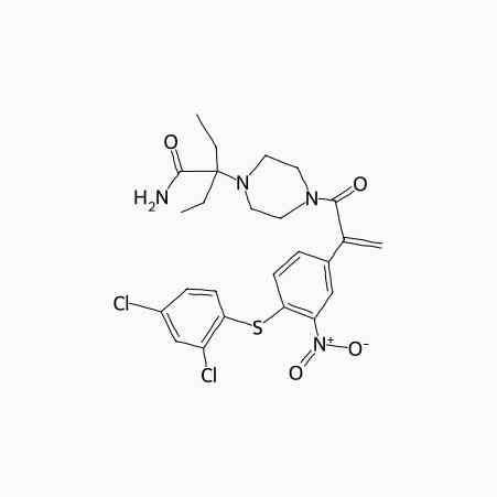 C=C(C(=O)N1CCN(C(CC)(CC)C(N)=O)CC1)c1ccc(Sc2ccc(Cl)cc2Cl)c([N+](=O)[O-])c1